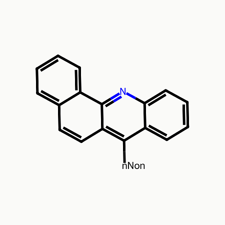 CCCCCCCCCc1c2ccccc2nc2c1ccc1ccccc12